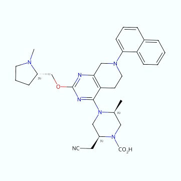 C[C@H]1CN(C(=O)O)[C@@H](CC#N)CN1c1nc(OC[C@@H]2CCCN2C)nc2c1CCN(c1cccc3ccccc13)C2